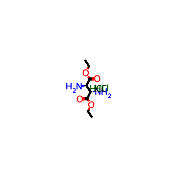 CCOC(=O)[C@@H](N)[C@@H](N)C(=O)OCC.Cl.Cl